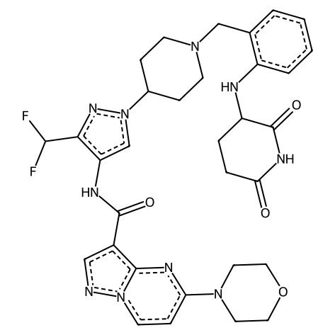 O=C1CCC(Nc2ccccc2CN2CCC(n3cc(NC(=O)c4cnn5ccc(N6CCOCC6)nc45)c(C(F)F)n3)CC2)C(=O)N1